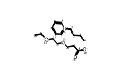 CCCC[n+]1ccccc1.CCOCCOCCC(=O)[O-]